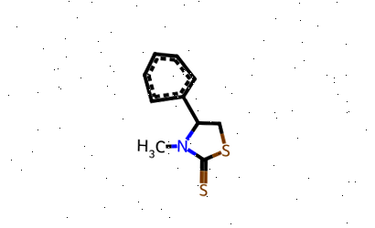 CN1C(=S)SCC1c1ccccc1